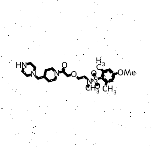 COc1cc(C)c(S(=O)(=O)N(C)CCOCC(=O)N2CCC(CN3CCNCC3)CC2)c(C)c1